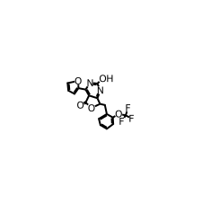 O=C1OC(Cc2ccccc2OC(F)(F)F)c2nc(O)nc(-c3ccco3)c21